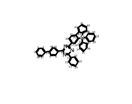 c1ccc(-c2ccc(-c3nc(-c4ccccc4)nc(-c4ccc5c(c4)[Si](c4ccccc4)(c4ccccc4)c4ccccc4-5)n3)cc2)cc1